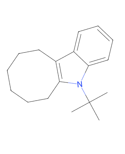 CC(C)(C)n1c2c(c3ccccc31)CCCCCC2